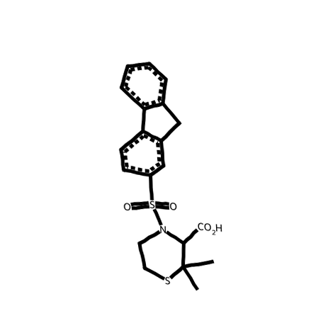 CC1(C)SCCN(S(=O)(=O)c2ccc3c(c2)Cc2ccccc2-3)C1C(=O)O